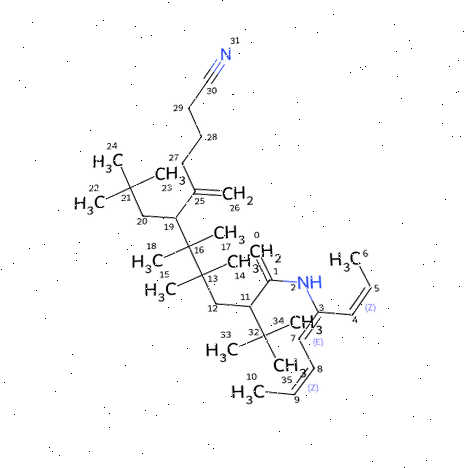 C=C(NC(/C=C\C)=C/C=C\C)C(CC(C)(C)C(C)(C)C(CC(C)(C)C)C(=C)CCCC#N)C(C)(C)C